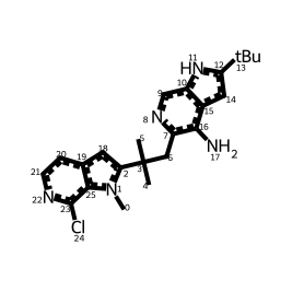 Cn1c(C(C)(C)Cc2ncc3[nH]c(C(C)(C)C)cc3c2N)cc2ccnc(Cl)c21